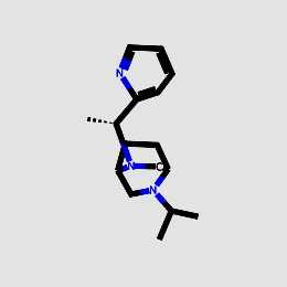 CC(C)N1CC2CCC1CN2[C@H](C)c1ccccn1